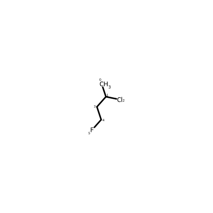 CC(Cl)CCF